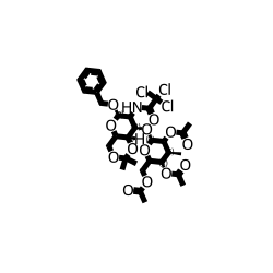 CC(=O)OCC1O[C@@H](O[C@@H]2C(NC(=O)C(Cl)(Cl)Cl)[C@H](OCc3ccccc3)OC3COC(C)(C)O[C@H]32)C(OC(C)=O)[C@@H](C)[C@H]1OC(C)=O